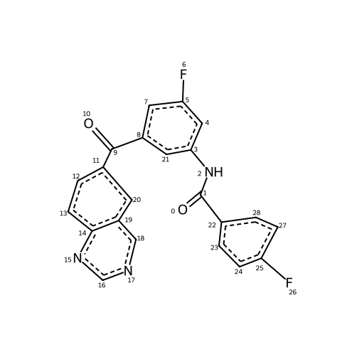 O=C(Nc1cc(F)cc(C(=O)c2ccc3ncncc3c2)c1)c1ccc(F)cc1